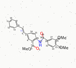 COC(=O)c1cc(/C=C/c2ccccc2)ccc1NC(=O)c1ccc(OC)c(OC)c1